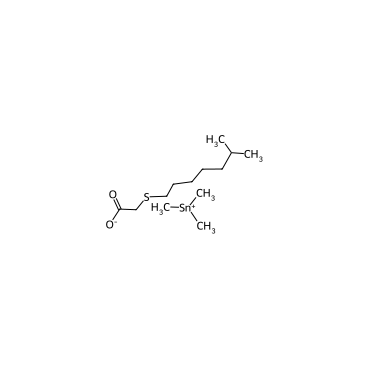 CC(C)CCCCCSCC(=O)[O-].[CH3][Sn+]([CH3])[CH3]